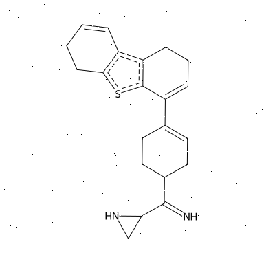 N=C(C1CC=C(C2=CCCc3c2sc2c3C=CCC2)CC1)C1CN1